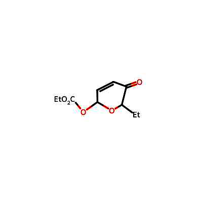 CCOC(=O)OC1C=CC(=O)C(CC)O1